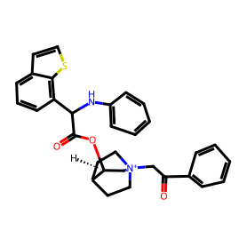 O=C(C[N+]12CCC(CC1)[C@@H](OC(=O)C(Nc1ccccc1)c1cccc3ccsc13)C2)c1ccccc1